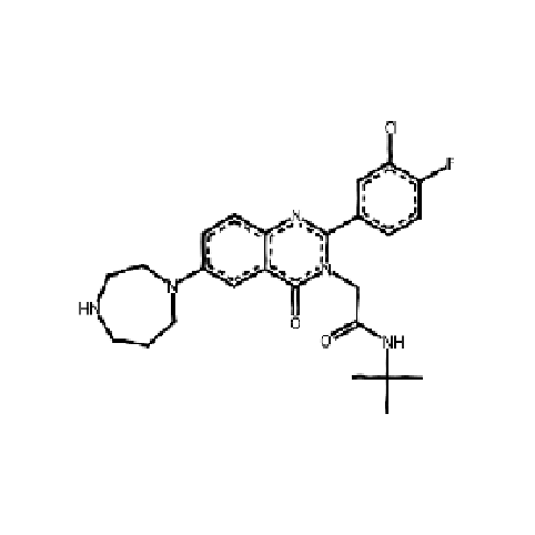 CC(C)(C)NC(=O)Cn1c(-c2ccc(F)c(Cl)c2)nc2ccc(N3CCCNCC3)cc2c1=O